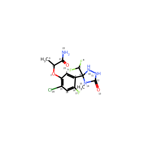 CC(Oc1cc(C2(C(F)F)NNC(=O)N2C)c(F)cc1Cl)C(N)=O